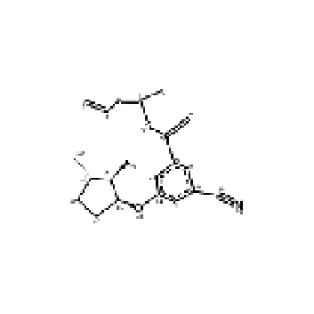 C=C/C=C(/C)SC(=C)c1cc(C#N)cc(O[C@H]2CC[C@H](C)[C@H]2C)c1